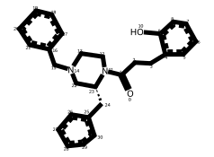 O=C(CCc1ccccc1O)N1CCN(Cc2ccccc2)C[C@H]1Cc1ccccc1